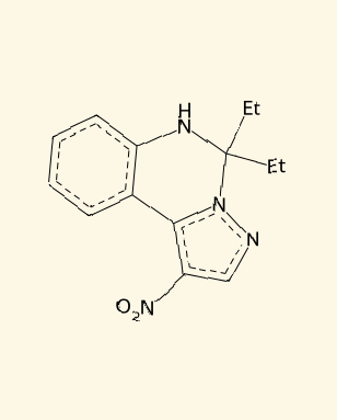 CCC1(CC)Nc2ccccc2-c2c([N+](=O)[O-])cnn21